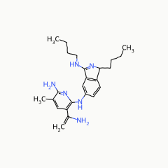 C=C(N)c1cc(C)c(N)nc1Nc1ccc2c(c1)C(NCCCC)=NC2CCCC